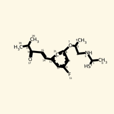 CC(S)NCC(C)Oc1cc(F)cc(/C=C/C(=O)C(C)C)c1